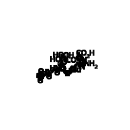 CCCCc1nc2c(N)nc3cc(C(=O)O)ccc3c2n1Cc1ccc(C[N+](C)(C)Cc2ccc(O[C@@H]3O[C@H](C(=O)O)[C@@H](O)[C@H](O)[C@H]3O)c(NC(=O)CCNC(=O)CCN3C(=O)C=CC3=O)c2)cc1